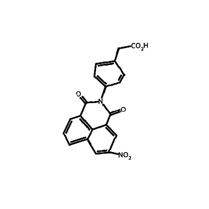 O=C(O)Cc1ccc(N2C(=O)c3cccc4cc([N+](=O)[O-])cc(c34)C2=O)cc1